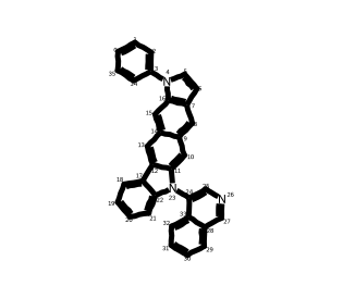 c1ccc(-n2ccc3cc4cc5c(cc4cc32)c2ccccc2n5-c2cncc3ccccc23)cc1